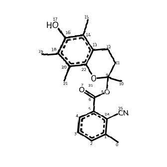 Cc1cccc(C(=O)OC2(C)CCc3c(C)c(O)c(C)c(C)c3O2)c1C#N